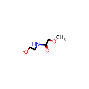 COCC(=O)NCC[O]